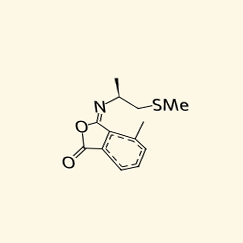 CSC[C@H](C)/N=C1/OC(=O)c2cccc(C)c21